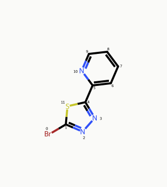 Brc1nnc(-c2ccccn2)s1